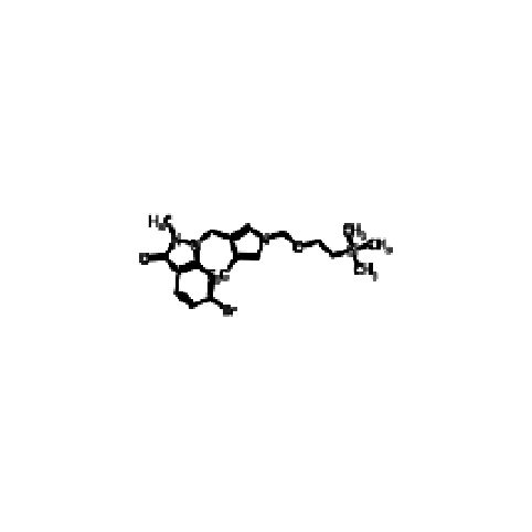 Cn1c(=O)c2ccc(Br)cc2n1Cc1cn(COCC[Si](C)(C)C)cc1C(F)(F)F